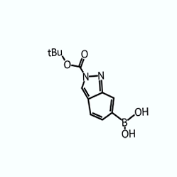 CC(C)(C)OC(=O)n1cc2ccc(B(O)O)cc2n1